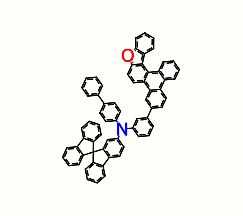 c1ccc(-c2ccc(N(c3cccc(-c4ccc5c6ccccc6c6c(ccc7oc8ccccc8c76)c5c4)c3)c3ccc4c(c3)C3(c5ccccc5-c5ccccc53)c3ccccc3-4)cc2)cc1